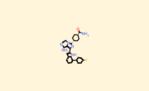 Nc1nccn2c1c(-c1cc3cccc(-c4ccc(F)cc4)c3[nH]1)nc2[C@H]1CC[C@H](C(N)=O)CC1